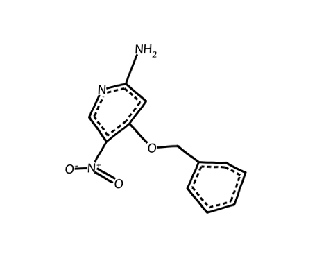 Nc1cc(OCc2ccccc2)c([N+](=O)[O-])cn1